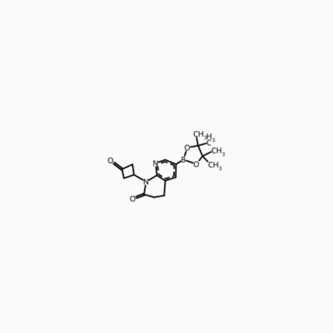 CC1(C)OB(c2cnc3c(c2)CCC(=O)N3C2CC(=O)C2)OC1(C)C